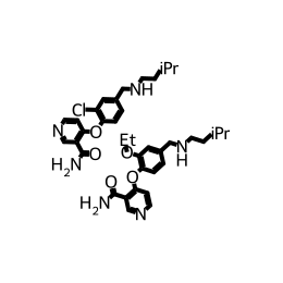 CC(C)CCNCc1ccc(Oc2ccncc2C(N)=O)c(Cl)c1.CCOc1cc(CNCCC(C)C)ccc1Oc1ccncc1C(N)=O